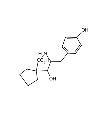 NC(Cc1ccc(O)cc1)C(O)C1(C(=O)O)CCCC1